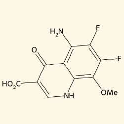 COc1c(F)c(F)c(N)c2c(=O)c(C(=O)O)c[nH]c12